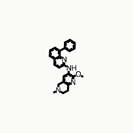 COc1nc2c(cc1Nc1ccc3cccc(-c4ccccc4)c3n1)CN(C)CC2